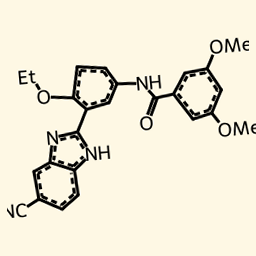 CCOc1ccc(NC(=O)c2cc(OC)cc(OC)c2)cc1-c1nc2cc(C#N)ccc2[nH]1